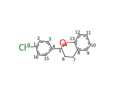 Clc1ccc(C2CCc3ccccc3O2)cc1